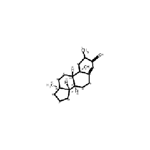 CC1C[C@@]2(C)C(=CC1=O)CC[C@H]1[C@@H]3CCC[C@@]3(C)CC[C@@H]12